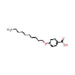 CCCCCC/C=C/CCOc1ccc(C(=O)O)cc1